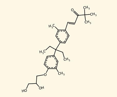 CCC(CC)(c1ccc(C=CC(=O)C(C)(C)C)c(C)c1)c1ccc(OCC(O)CO)c(C)c1